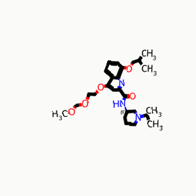 COCOCCOc1cc(C(=O)N[C@@H]2CCCN(C(C)C)C2)nc2c(OCC(C)C)cccc12